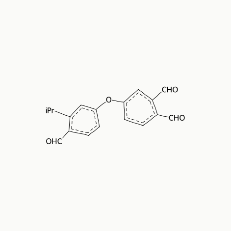 CC(C)c1cc(Oc2ccc(C=O)c(C=O)c2)ccc1C=O